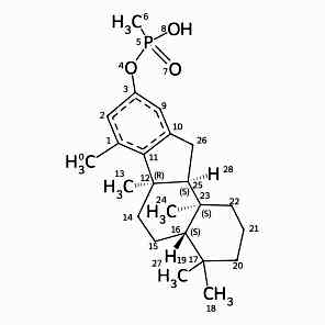 Cc1cc(OP(C)(=O)O)cc2c1[C@]1(C)CC[C@H]3C(C)(C)CCC[C@]3(C)[C@@H]1C2